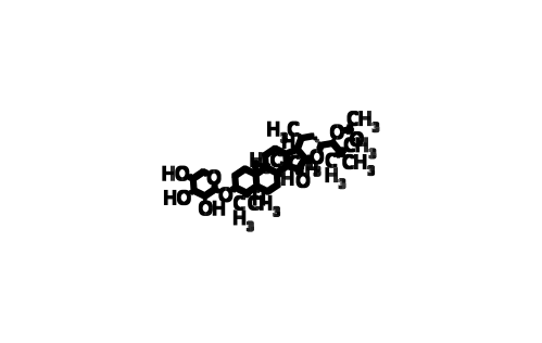 CC(=O)O[C@@H]([C@H]1C[C@@H](C)[C@H]2[C@H](O1)C(=O)[C@@]1(C)[C@@H]3CC[C@H]4C(C)(C)C(O[C@@H]5OCC(O)[C@H](O)[C@H]5O)CCC45C[C@@]35CC[C@]21C)C(C)(C)C